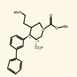 COCCC1CN(C(=O)OC(C)(C)C)C[C@H](C(=O)O)[C@H]1c1cccc(-c2ccccc2)c1